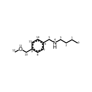 CCCCNCc1ccc(COC)cc1